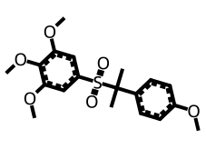 COc1ccc(C(C)(C)S(=O)(=O)c2cc(OC)c(OC)c(OC)c2)cc1